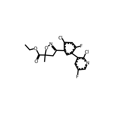 CCOC(=O)C1(C)CC(c2cc(-c3cc(F)cnc3Cl)c(F)cc2Cl)=NO1